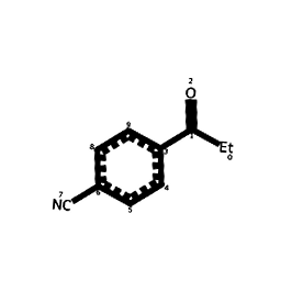 [CH2]CC(=O)c1ccc(C#N)cc1